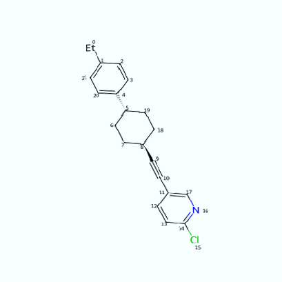 CCc1ccc([C@H]2CC[C@H](C#Cc3ccc(Cl)nc3)CC2)cc1